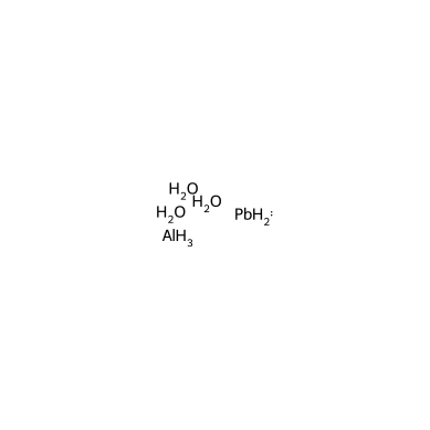 O.O.O.[AlH3].[PbH2]